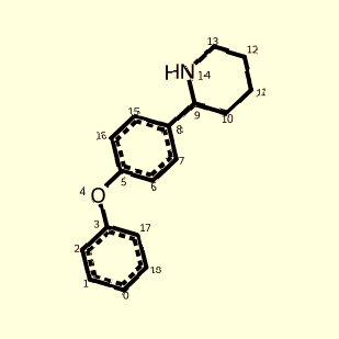 c1ccc(Oc2ccc(C3CCCCN3)cc2)cc1